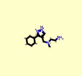 CN(CCN)Cc1c[nH]nc1C1CCCCC1